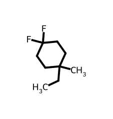 CCC1(C)CCC(F)(F)CC1